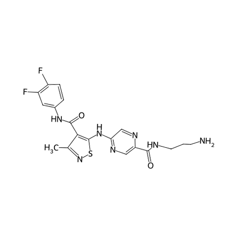 Cc1nsc(Nc2cnc(C(=O)NCCCN)cn2)c1C(=O)Nc1ccc(F)c(F)c1